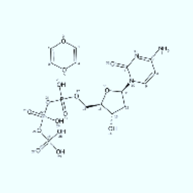 C1=COC=CO1.Nc1ccn([C@H]2C[C@H](O)[C@@H](COP(=O)(O)OP(=O)(O)OP(=O)(O)O)O2)c(=O)n1